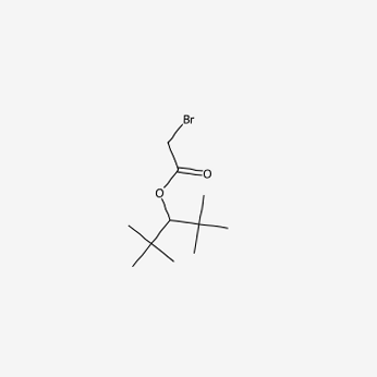 CC(C)(C)C(OC(=O)CBr)C(C)(C)C